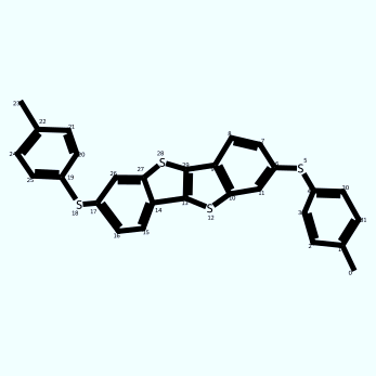 Cc1ccc(Sc2ccc3c(c2)sc2c4ccc(Sc5ccc(C)cc5)cc4sc32)cc1